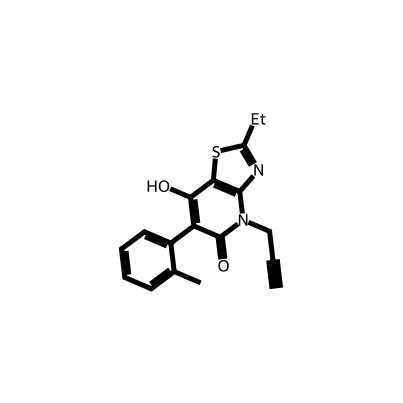 C#CCn1c(=O)c(-c2ccccc2C)c(O)c2sc(CC)nc21